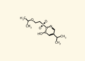 CC(C)OCCS(=O)(=O)N1N=CC(C(C)C)=CB1O